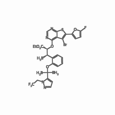 B[C@H](c1ccccc1OC(B)(B)c1ccnn1CC(F)(F)F)[C@H](Oc1ncnc2sc(-c3ccc(F)o3)c(Br)c12)C(=O)OCC